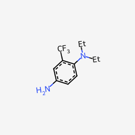 CCN(CC)c1ccc(N)cc1C(F)(F)F